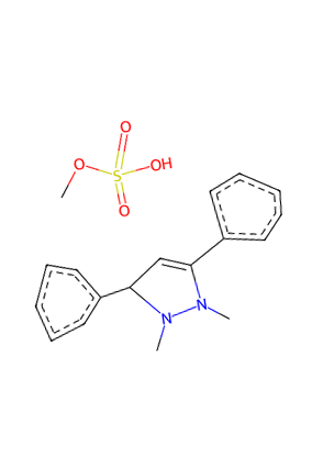 CN1C(c2ccccc2)=CC(c2ccccc2)N1C.COS(=O)(=O)O